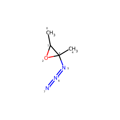 CC1OC1(C)N=[N+]=[N-]